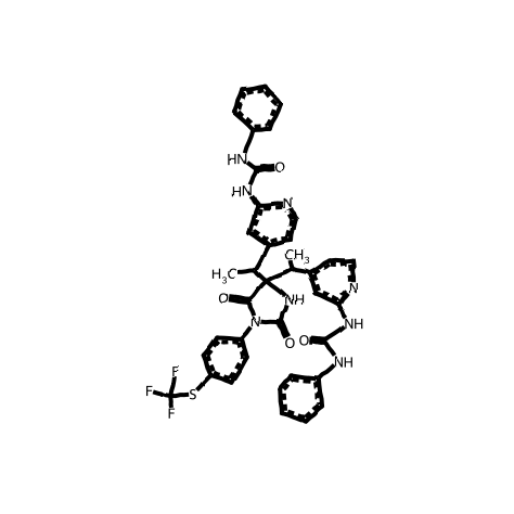 CC(c1ccnc(NC(=O)Nc2ccccc2)c1)C1(C(C)c2ccnc(NC(=O)Nc3ccccc3)c2)NC(=O)N(c2ccc(SC(F)(F)F)cc2)C1=O